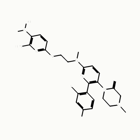 CN1CCN(c2ccc(N(C)CCNc3ccc(N(O)O)c(N)n3)nc2-c2ccc(Cl)cc2Cl)C(=O)C1